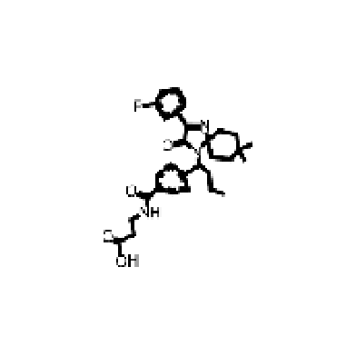 CCCC(c1ccc(C(=O)NCCC(=O)O)cc1)N1C(=O)C(c2cccc(F)c2)=NC12CCC(C)(C)CC2